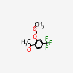 COCOc1cc(C(F)(F)F)ccc1C(C)=O